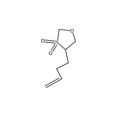 C=CCCC1COCS1(=O)=O